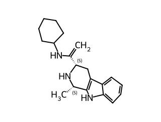 C=C(NC1CCCCC1)[C@@H]1Cc2c([nH]c3ccccc23)[C@H](C)N1